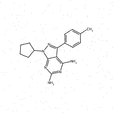 Cc1ccc(-c2nn(C3CCCC3)c3nc(N)nc(N)c23)cc1